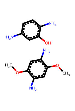 COc1cc(N)c(OC)cc1N.Nc1ccc(N)c(O)c1